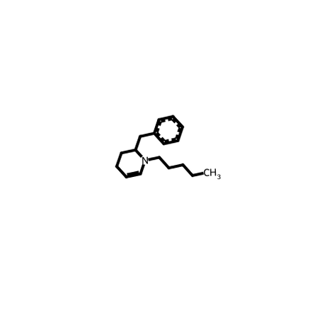 CCCCCN1C=CCCC1Cc1ccccc1